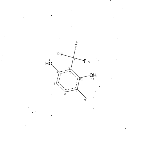 Cc1ccc(O)c(C(F)(F)F)c1O